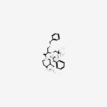 CC(C)(N)CN(C(COCc1ccccc1)C(=O)N1CCC2=NN(C(C)(C)C)C(=O)[C@@]2(Cc2ccccc2)C1)S(C)(=O)=O